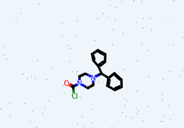 O=C(Cl)N1CCN(C(c2ccccc2)c2ccccc2)CC1